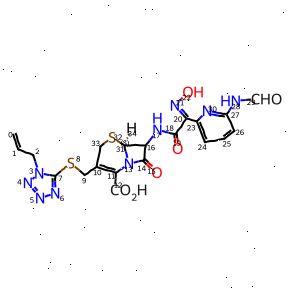 C=CCn1nnnc1SCC1=C(C(=O)O)N2C(=O)C(NC(=O)C(=NO)c3cccc(NC=O)n3)[C@@H]2SC1